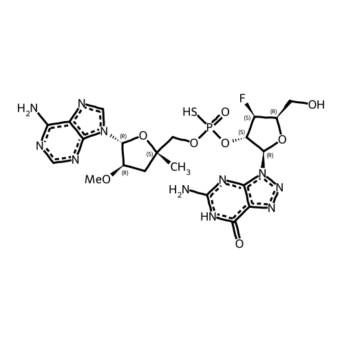 CO[C@@H]1C[C@@](C)(COP(=O)(S)O[C@@H]2[C@@H](F)[C@@H](CO)O[C@H]2n2nnc3c(=O)[nH]c(N)nc32)O[C@H]1n1cnc2c(N)ncnc21